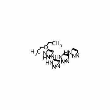 CCOCC.c1c[nH]nn1.c1c[nH]nn1.c1c[nH]nn1.c1c[nH]nn1